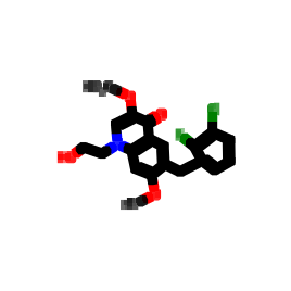 CCCOc1cc2c(cc1Cc1cccc(Cl)c1F)c(=O)c(OC(=O)O)cn2CCO